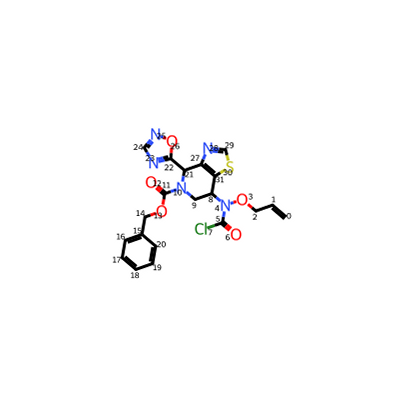 C=CCON(C(=O)Cl)C1CN(C(=O)OCc2ccccc2)C(c2ncno2)c2ncsc21